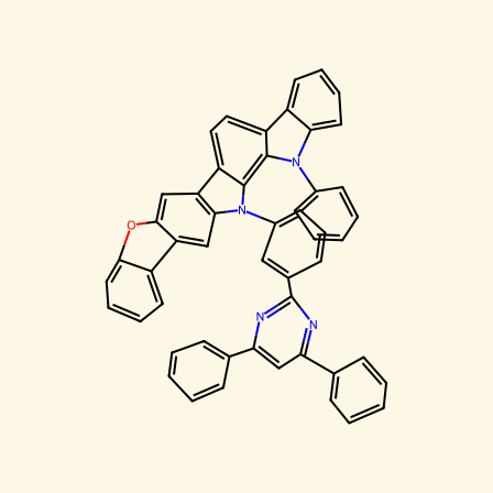 c1ccc(-c2cc(-c3ccccc3)nc(-c3cccc(-n4c5cc6c(cc5c5ccc7c8ccccc8n(-c8ccccc8)c7c54)oc4ccccc46)c3)n2)cc1